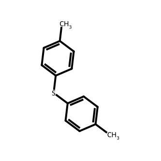 Cc1ccc(Sc2ccc(C)cc2)cc1